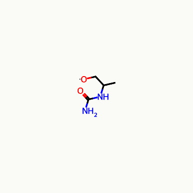 C[C](C[O])NC(N)=O